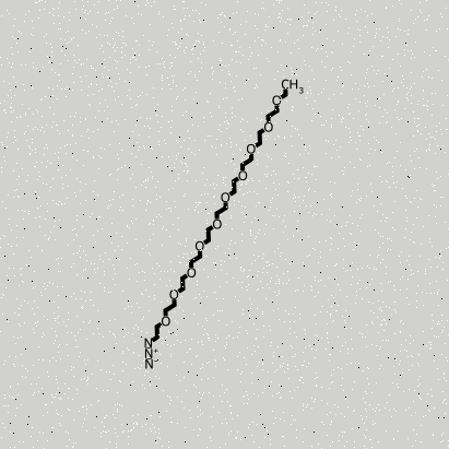 CCOCCOCCOCCOCCOCCOCCOCCOCCOCCOCCN=[N+]=[N-]